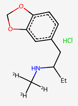 Cl.[2H]C([2H])([2H])NC(CC)Cc1ccc2c(c1)OCO2